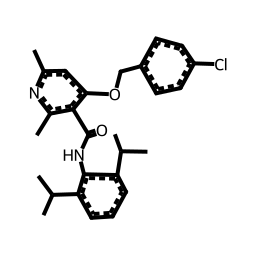 Cc1cc(OCc2ccc(Cl)cc2)c(C(=O)Nc2c(C(C)C)cccc2C(C)C)c(C)n1